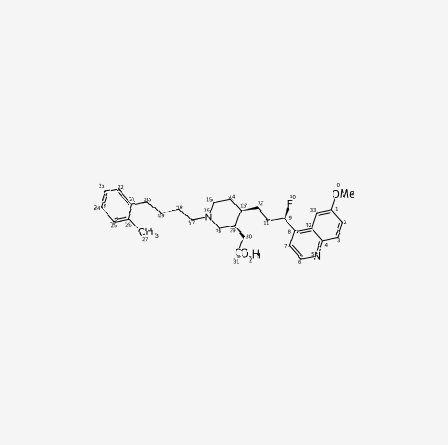 COc1ccc2nccc([C@H](F)CC[C@@H]3CCN(CCCCc4ccccc4C)C[C@@H]3CC(=O)O)c2c1